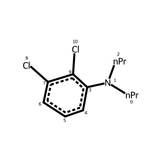 CCCN(CCC)c1cccc(Cl)c1Cl